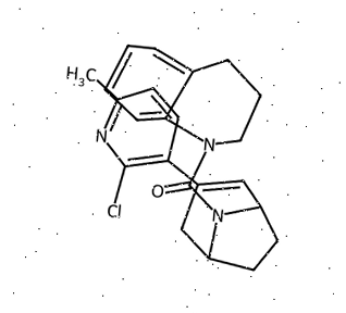 Cc1ccc(C2=CC3CCC(C2)N3C(=O)N2CCCc3ccccc32)c(Cl)n1